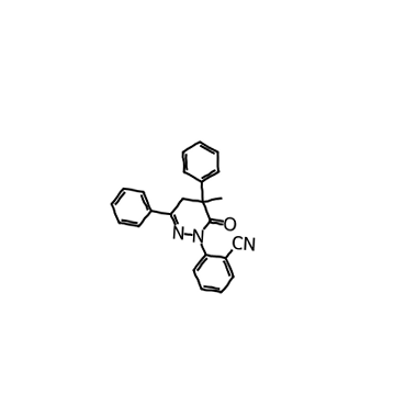 CC1(c2ccccc2)CC(c2ccccc2)=NN(c2ccccc2C#N)C1=O